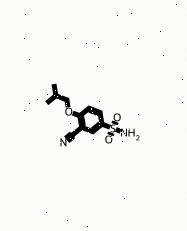 CC(C)COc1ccc(S(N)(=O)=O)cc1C#N